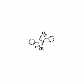 FC(F)(F)C(F)(F)C(SSC(c1ccccc1)C(F)(F)C(F)(F)F)c1ccccc1